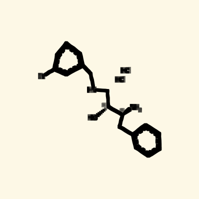 CCc1cccc(CNC[C@@H](O)[C@@H](N)Cc2ccccc2)c1.Cl.Cl